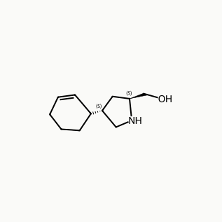 OC[C@@H]1C[C@@H](C2C=CCCC2)CN1